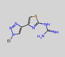 CCn1cc(-c2csc(NC(=N)N)n2)nn1